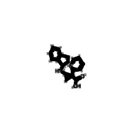 O=C(O)C1(c2ccccn2)CC1NC1CCc2ccccc21